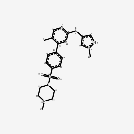 Cc1cnc(Nc2cnn(C)c2)nc1-c1ccc(S(=O)(=O)N2CCN(C)CC2)cc1